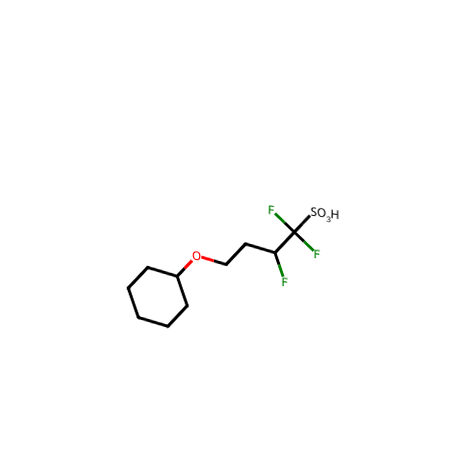 O=S(=O)(O)C(F)(F)C(F)CCOC1CCCCC1